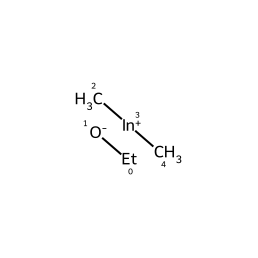 CC[O-].[CH3][In+][CH3]